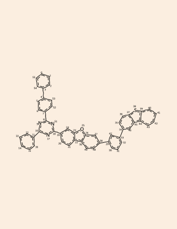 c1ccc(-c2ccc(-c3nc(-c4ccccc4)nc(-c4ccc5c(c4)oc4cc(-c6cccc(-c7ccc8sc9ccccc9c8c7)c6)ccc45)n3)cc2)cc1